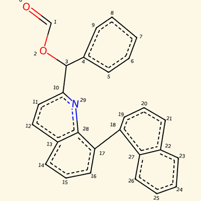 O=COC(c1ccccc1)c1ccc2cccc(-c3cccc4ccccc34)c2n1